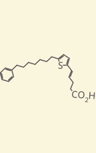 O=C(O)CCC=Cc1ccc(CCCCCCCc2ccccc2)s1